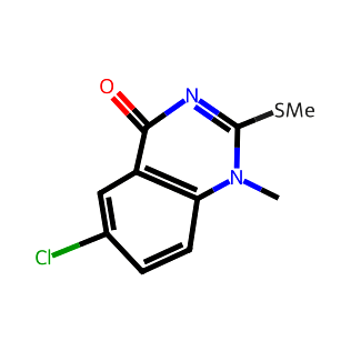 CSc1nc(=O)c2cc(Cl)ccc2n1C